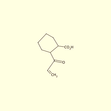 C=CC(=O)C1CCCCC1C(=O)O